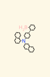 Bc1ccccc1-c1ccc(N(c2ccc3ccccc3c2)c2cccc3ccccc23)cc1